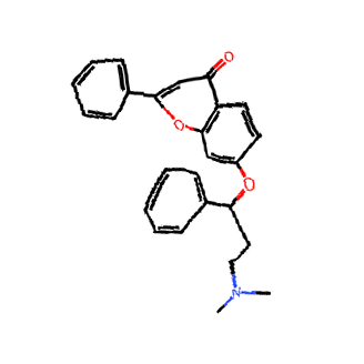 CN(C)CCC(Oc1ccc2c(=O)cc(-c3ccccc3)oc2c1)c1ccccc1